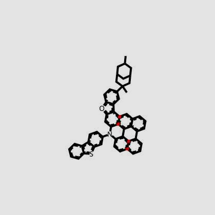 CC1CC2CC(C1)CC(C)(c1ccc3oc4cc(N(c5ccc6c(c5)sc5ccccc56)c5ccccc5-c5cccc6cccc(-c7ccccc7)c56)ccc4c3c1)C2